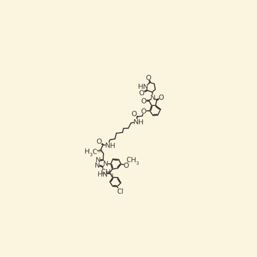 COc1ccc(-n2c(C)nnc2C[C@@H](C)C(=O)NCCCCCCCNC(=O)COc2cccc3c2C(=O)N(C2CCC(=O)NC2=O)C3=O)c(C(=N)c2ccc(Cl)cc2)c1